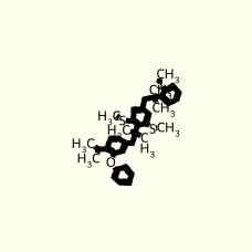 CSc1ccccc1C(C)(C)Cc1cc(SC)c(C(C)(C)Cc2ccc(C(C)C)c(Oc3ccccc3)c2)c(SC)c1